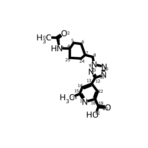 CC(=O)NC1CCC(Cn2nnc(-c3cc(C)nc(C(=O)O)c3)n2)CC1